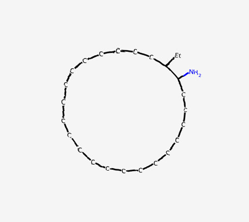 CCC1CCCCCCCCCCCCCCCCCCCCCC1N